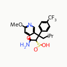 COc1ccc(C(CC(C)C)(c2ccc(C(F)(F)F)cc2)C(C(N)=O)S(=O)O)cn1